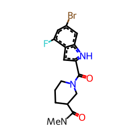 CNC(=O)C1CCCN(C(=O)c2cc3c(F)cc(Br)cc3[nH]2)C1